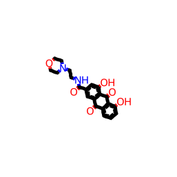 O=C(NCCN1CCOCC1)c1cc(O)c2c(c1)C(=O)c1cccc(O)c1C2=O